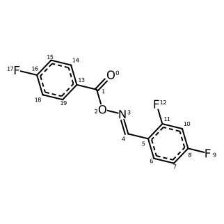 O=C(ON=Cc1ccc(F)cc1F)c1ccc(F)cc1